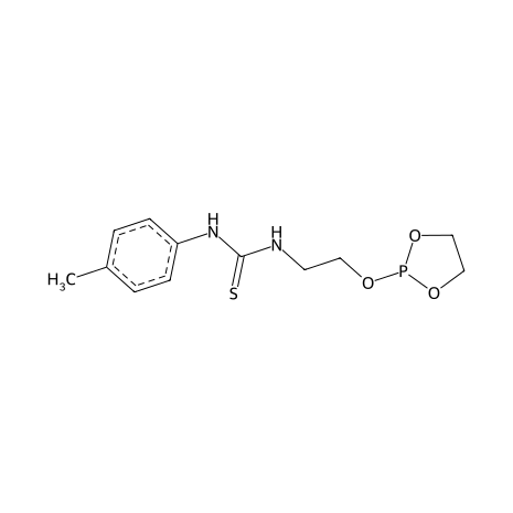 Cc1ccc(NC(=S)NCCOP2OCCO2)cc1